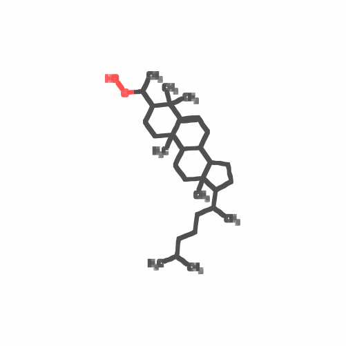 CC(C)CCCC(C)C1CCC2C3CC=C4C(C)(C)C(C(C)OO)CCC4(C)C3CCC12C